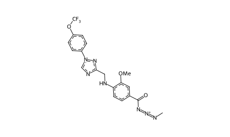 CN=[N+]=NC(=O)c1ccc(NCc2ncn(-c3ccc(OC(F)(F)F)cc3)n2)c(OC)c1